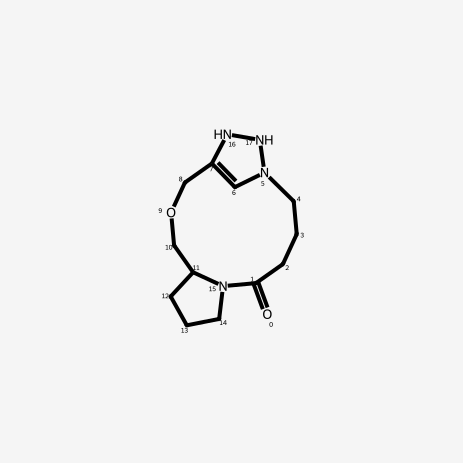 O=C1CCCN2C=C(COCC3CCCN13)NN2